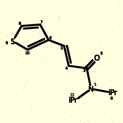 CC(C)N(C(=O)/C=C/c1ccsc1)C(C)C